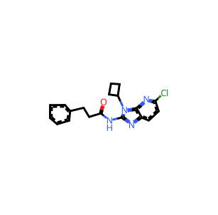 O=C(CCc1ccccc1)Nc1nc2ccc(Cl)nc2n1C1CCC1